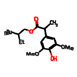 CCCCC(CC)COC(=O)C(C)c1cc(OC)c(O)c(OC)c1